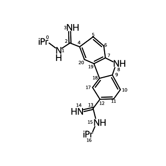 CC(C)NC(=N)c1ccc2[nH]c3ccc(C(=N)NC(C)C)cc3c2c1